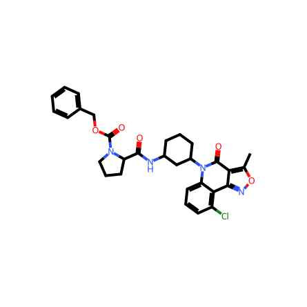 Cc1onc2c1c(=O)n(C1CCCC(NC(=O)C3CCCN3C(=O)OCc3ccccc3)C1)c1cccc(Cl)c21